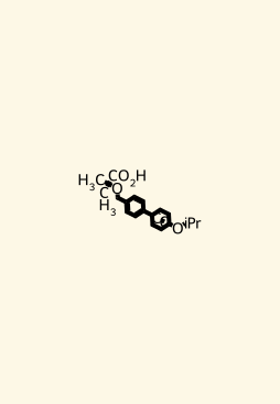 CC(C)OC12CCC(c3ccc(COC(C)(C)C(=O)O)cc3)(CC1)CC2